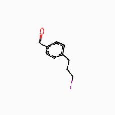 O=Cc1ccc(CCCI)cc1